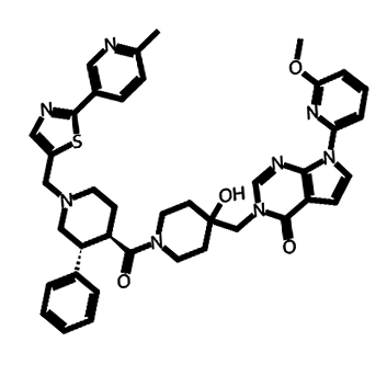 COc1cccc(-n2ccc3c(=O)n(CC4(O)CCN(C(=O)[C@@H]5CCN(Cc6cnc(-c7ccc(C)nc7)s6)C[C@H]5c5ccccc5)CC4)cnc32)n1